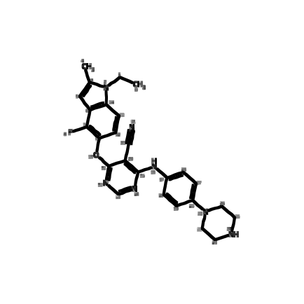 CCn1c(C)cc2c(F)c(Oc3ncnc(Nc4ccc(N5CCNCC5)cc4)c3C#N)ccc21